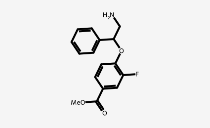 COC(=O)c1ccc(OC(CN)c2ccccc2)c(F)c1